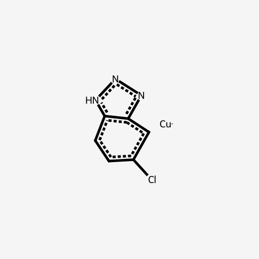 Clc1ccc2[nH]nnc2c1.[Cu]